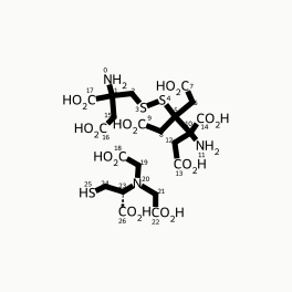 NC(CSSC(CC(=O)O)(CC(=O)O)C(N)(CC(=O)O)C(=O)O)(CC(=O)O)C(=O)O.O=C(O)CN(CC(=O)O)[C@@H](CS)C(=O)O